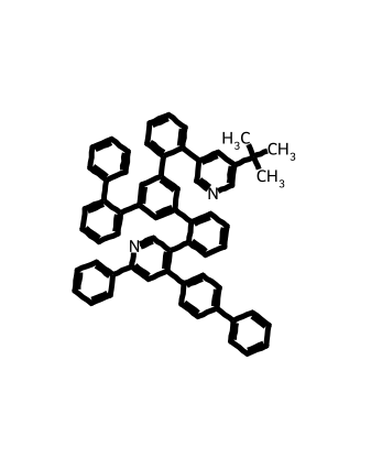 CC(C)(C)c1cncc(-c2ccccc2-c2cc(-c3ccccc3-c3ccccc3)cc(-c3ccccc3-c3cnc(-c4ccccc4)cc3-c3ccc(-c4ccccc4)cc3)c2)c1